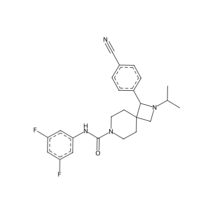 CC(C)N1CC2(CCN(C(=O)Nc3cc(F)cc(F)c3)CC2)C1c1ccc(C#N)cc1